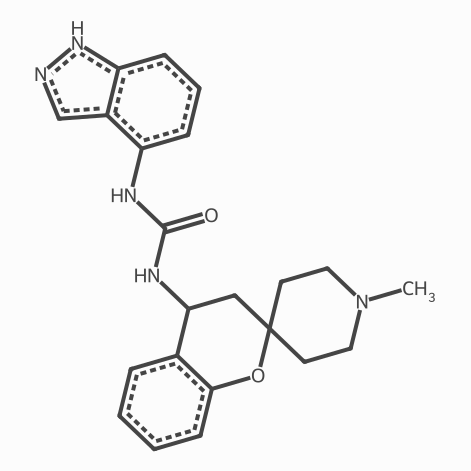 CN1CCC2(CC1)CC(NC(=O)Nc1cccc3[nH]ncc13)c1ccccc1O2